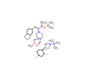 COC[C@H]1CN([C@@H](Cc2ccc3c(c2)CCC3)C(=O)OC(C)(C)C)CCN1C(=O)[C@@H]1CN(C(C)(C)C)C[C@H]1c1ccc(F)cc1F